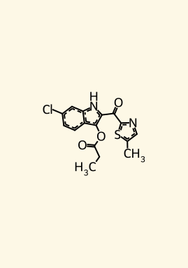 CCC(=O)Oc1c(C(=O)c2ncc(C)s2)[nH]c2cc(Cl)ccc12